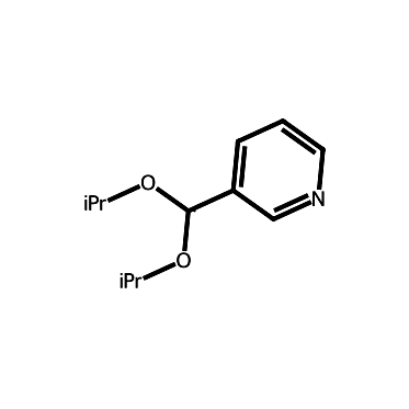 CC(C)O[C](OC(C)C)c1cccnc1